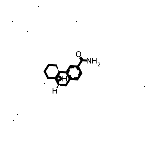 NC(=O)c1ccc2c(c1)[C@@]13CCCC[C@@]1(O)[C@H](CCC3)C2